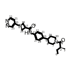 CC[C@H](C)C(=O)N1CCC(c2ccc(NC(=O)C3CN(c4ccnnc4)C3)cc2)CC1